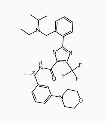 CCN(Cc1ccccc1-c1nc(C(F)(F)F)c(C(=O)N[C@@H](C)c2cccc(N3CCOCC3)c2)s1)C(C)C